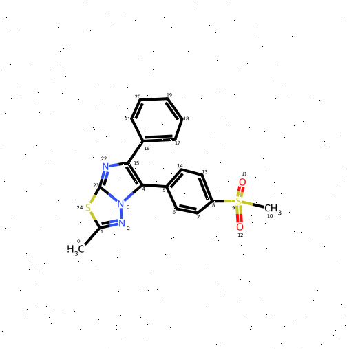 Cc1nn2c(-c3ccc(S(C)(=O)=O)cc3)c(-c3ccccc3)nc2s1